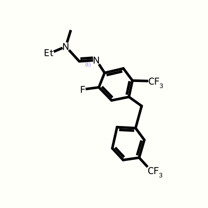 CCN(C)/C=N/c1cc(C(F)(F)F)c(Cc2cccc(C(F)(F)F)c2)cc1F